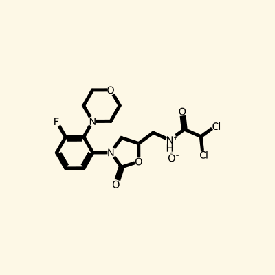 O=C1OC(C[N@H+]([O-])C(=O)C(Cl)Cl)CN1c1cccc(F)c1N1CCOCC1